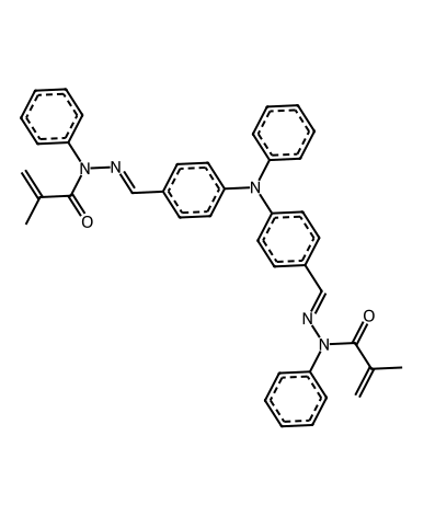 C=C(C)C(=O)N(/N=C/c1ccc(N(c2ccccc2)c2ccc(/C=N/N(C(=O)C(=C)C)c3ccccc3)cc2)cc1)c1ccccc1